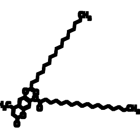 CCCCCCCCCCCCCCCCCC(=O)Oc1cc2oc(=O)cc(C)c2cc1OC(=O)CCCCCCCCCCCCCCCCC